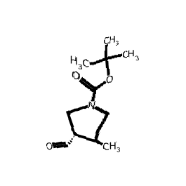 CC1CN(C(=O)OC(C)(C)C)C[C@H]1C=O